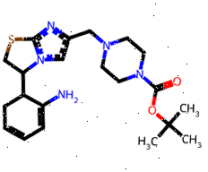 CC(C)(C)OC(=O)N1CCN(Cc2cn3c(n2)SCC3C2CC=CC=C2N)CC1